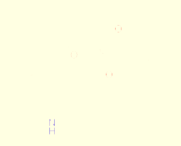 CC(C)OC(=O)OC1C[CH]NC1